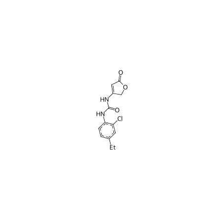 CCc1ccc(NC(=O)NC2=CC(=O)OC2)c(Cl)c1